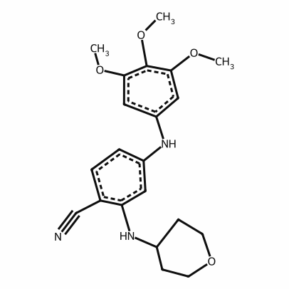 COc1cc(Nc2ccc(C#N)c(NC3CCOCC3)c2)cc(OC)c1OC